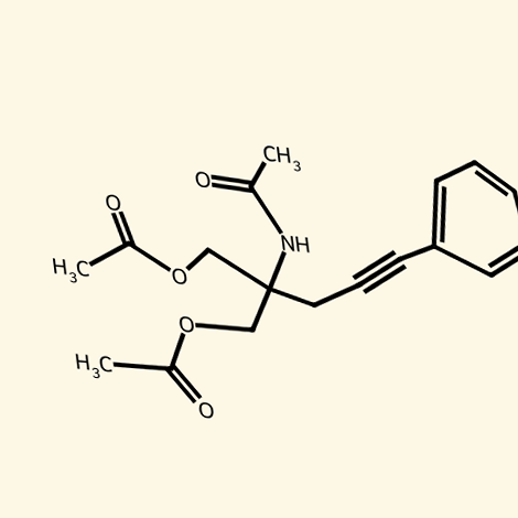 CC(=O)NC(CC#Cc1ccccc1)(COC(C)=O)COC(C)=O